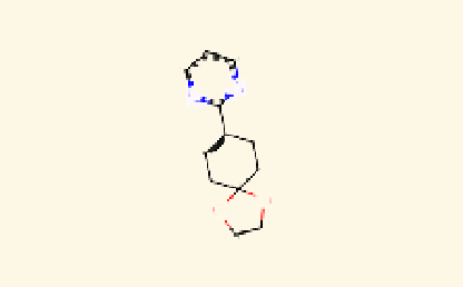 C1=C(c2ncccn2)CCC2(C1)OCCO2